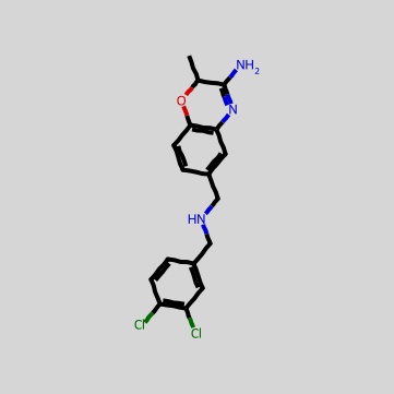 CC1Oc2ccc(CNCc3ccc(Cl)c(Cl)c3)cc2N=C1N